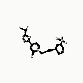 CS(=O)(=O)c1cccc(C#CCn2ccc(-c3nnc(C(F)F)o3)cc2=O)c1